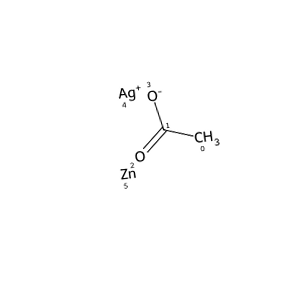 CC(=O)[O-].[Ag+].[Zn]